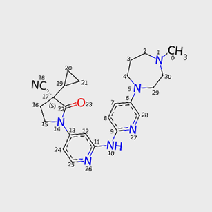 CN1CCCN(c2ccc(Nc3cc(N4CC[C@@](C#N)(C5CC5)C4=O)ccn3)nc2)CC1